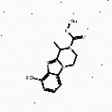 CC1c2nc3c(O)cccc3n2CCN1C(=O)OC(C)(C)C